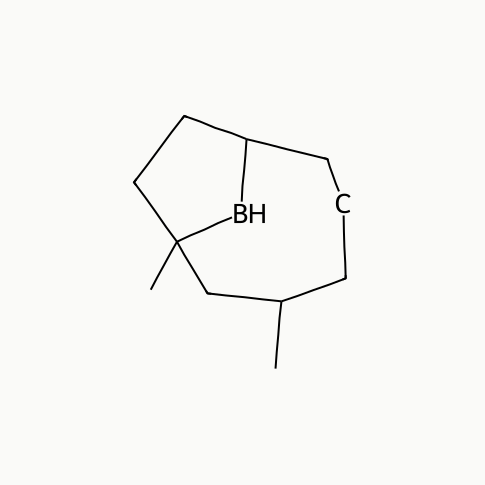 CC1CCCC2BC(C)(CC2)C1